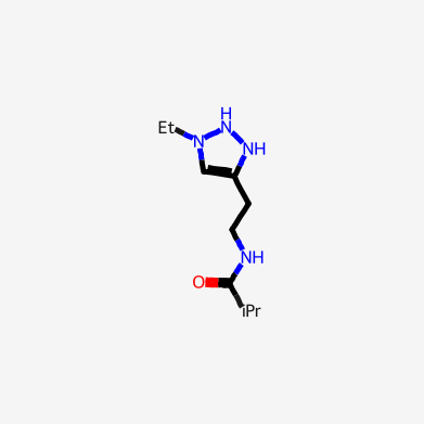 CCN1C=C(CCNC(=O)C(C)C)NN1